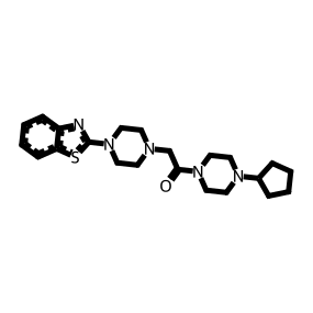 O=C(CN1CCN(c2nc3ccccc3s2)CC1)N1CCN(C2CCCC2)CC1